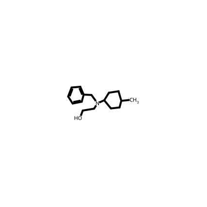 CC1CCC(N(CCO)Cc2ccccc2)CC1